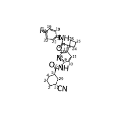 N#C[C@@H]1CCC[C@@H](C(=O)Nc2ccc(C3(C(=O)Nc4ccc(F)cc4)CCC3)cn2)C1